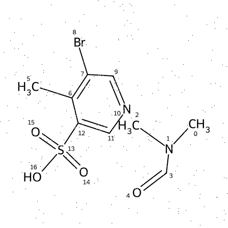 CN(C)C=O.Cc1c(Br)cncc1S(=O)(=O)O